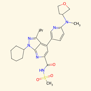 CC(C)c1nn(C2CCCCC2)c2nc(C(=O)NS(C)(=O)=O)cc(-c3ccc(N(C)C4CCOC4)nc3)c12